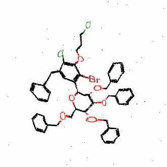 ClCCCOc1c(Cl)c(Cc2ccccc2)cc([C@@H]2O[C@H](COCc3ccccc3)[C@@H](OCc3ccccc3)[C@H](OCc3ccccc3)[C@H]2OCc2ccccc2)c1Br